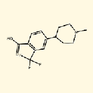 CN1CCC(c2ccc(C(=O)O)c(C(F)(F)F)c2)CC1